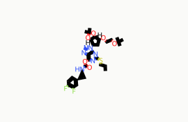 CCCSc1nc(OC(=O)N[C@@H]2C[C@H]2c2ccc(F)c(F)c2)c2nnn([C@@H]3C[C@H](OCCOC(C)(C)C)[C@H]4OC(C)(C)O[C@H]43)c2n1